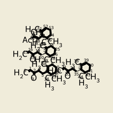 C=CC(=O)CCC1=C(C)CCCC1(C)C.C=CC(=O)CC[C@@H]1C(=C)CCCC1(C)C.C=CC(=O)CC[C@@H]1C(C)=CCCC1(C)C.CC(=O)C(C)=CC1C(C)=CCCC1(C)C